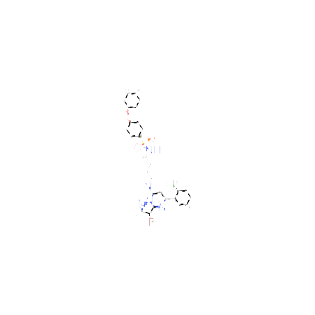 O=S(=O)(NCCCCNc1cc(-c2ccccc2Cl)nc2c(Br)cnn12)c1ccc(Oc2ccccc2)cc1